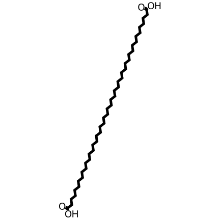 O=C(O)CCCCCCCCCCCCCCCCCCCCCCCCCCCCCCCCCCCCCCCCCCCC(=O)O